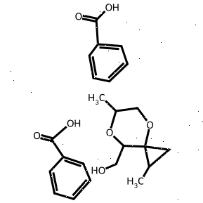 CC1COC2(CC2C)C(CO)O1.O=C(O)c1ccccc1.O=C(O)c1ccccc1